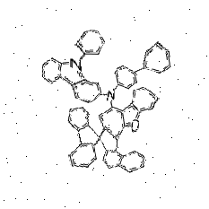 c1ccc(-c2ccc(N(c3ccc4c5ccccc5n(-c5ccccc5)c4c3)c3cc4c(c5oc6ccccc6c35)-c3c(ccc5ccccc35)C43c4ccccc4-c4ccccc43)cc2)cc1